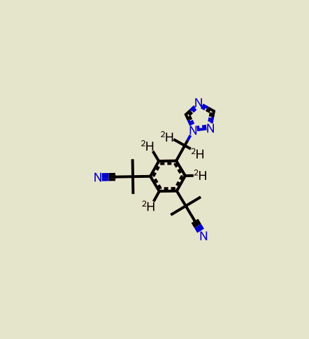 [2H]c1c(C(C)(C)C#N)c([2H])c(C([2H])([2H])n2cncn2)c([2H])c1C(C)(C)C#N